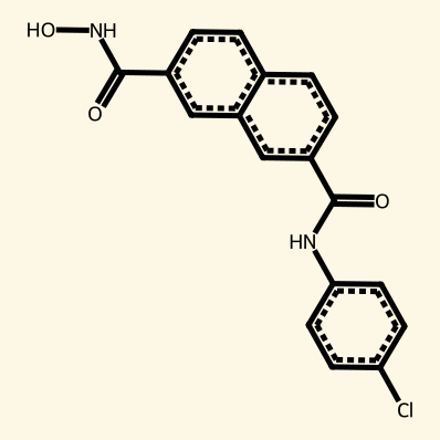 O=C(NO)c1ccc2ccc(C(=O)Nc3ccc(Cl)cc3)cc2c1